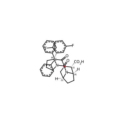 O=C(O)[C@@H]1[C@H]2CC[C@@H](CN1C(=O)N(c1ccccc1)c1ccccc1)N2C(=O)N1CCC[C@@H]1c1cc(F)ccc1F